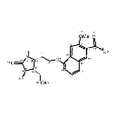 COC[C@H]1[C@@H](CCOc2nccc3cc(C(N)=O)c(OC)cc23)NC(=O)[C@@H]1F